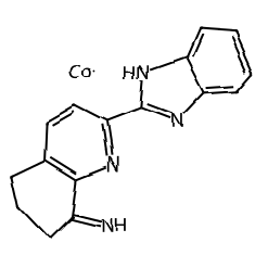 N=C1CCCc2ccc(-c3nc4ccccc4[nH]3)nc21.[Co]